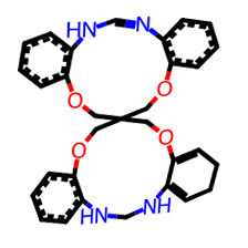 C1=C2NCNc3ccccc3OCC3(COC2=CCC1)COc1ccccc1/N=C\Nc1ccccc1OC3